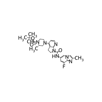 Cc1cn2cc(NC(=O)N3CCc4c(N5CCN(C(=O)OC(C)(C)C)[C@@H](C)C5)ccnc43)cc(F)c2n1